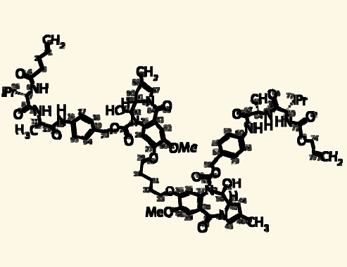 C=CCCC(=O)N[C@H](C(=O)N[C@@H](C)C(=O)Nc1ccc(COC(=O)N2c3cc(OCCCCCOc4cc5c(cc4OC)C(=O)N4C=C(C)C[C@H]4[C@H](O)N5C(=O)OCc4ccc(NC(=O)[C@H](C)NC(=O)[C@@H](NC(=O)OCC=C)C(C)C)cc4)c(OC)cc3C(=O)N3C=C(C)C[C@H]3[C@@H]2O)cc1)C(C)C